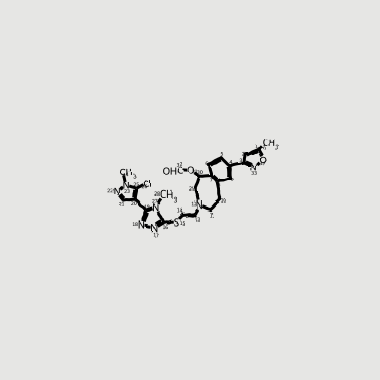 Cc1cc(-c2ccc3c(c2)CCN(CCSc2nnc(-c4cnn(C)c4Cl)n2C)CC3OC=O)no1